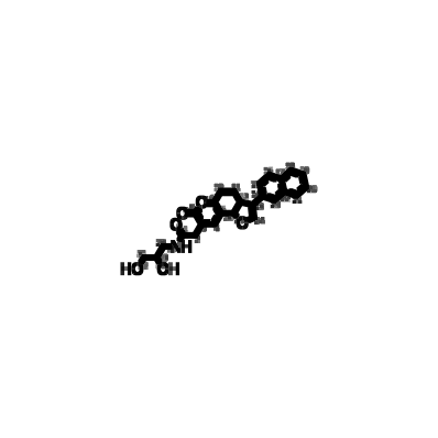 O=C(Cc1cc2c(oc1=O)C=CC1C(c3ccc4ccccc4c3)=COC21)NCC(O)CO